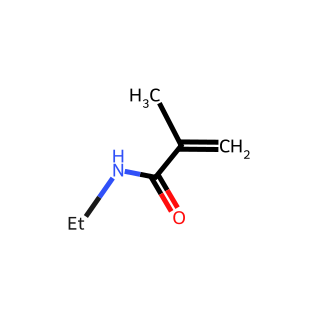 C=C(C)C(=O)NCC